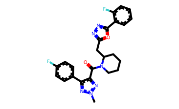 Cn1nc(C(=O)N2CCCCC2Cc2nnc(-c3ccccc3F)o2)c(-c2ccc(F)cc2)n1